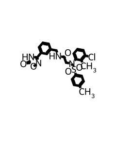 Cc1ccc(S(=O)(=O)N(CC(=O)NCc2cccc(-c3noc(=O)[nH]3)c2)c2cccc(Cl)c2C)cc1